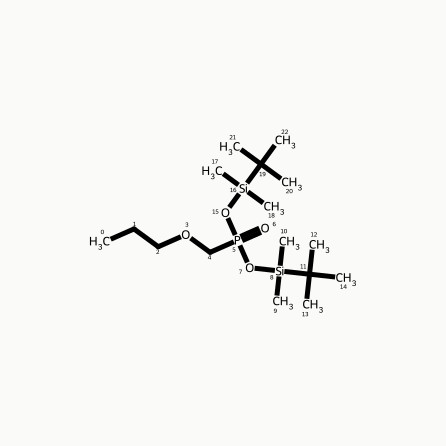 CCCOCP(=O)(O[Si](C)(C)C(C)(C)C)O[Si](C)(C)C(C)(C)C